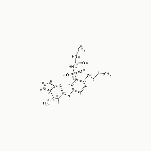 CCCOc1ccc(CC(=O)NC(C)c2cccs2)cc1S(=O)(=O)NC(=O)NC